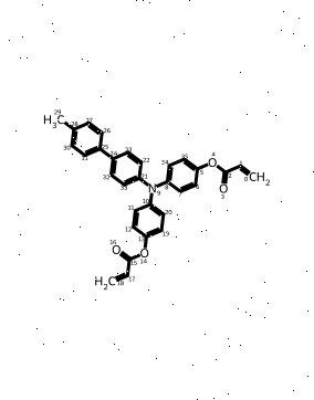 C=CC(=O)Oc1ccc(N(c2ccc(OC(=O)C=C)cc2)c2ccc(-c3ccc(C)cc3)cc2)cc1